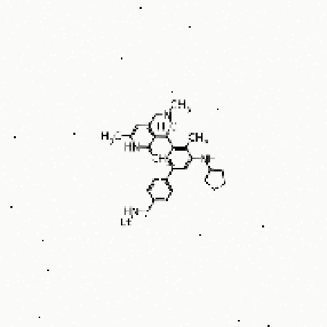 C=C1NC(C)=CC(CN(C)C)=C1Cc1cc(-c2ccc(CNCC)cc2)cc(NC2CCCC2)c1C